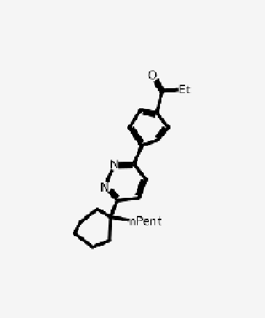 CCCCCC1(c2ccc(-c3ccc(C(=O)CC)cc3)nn2)CCCCC1